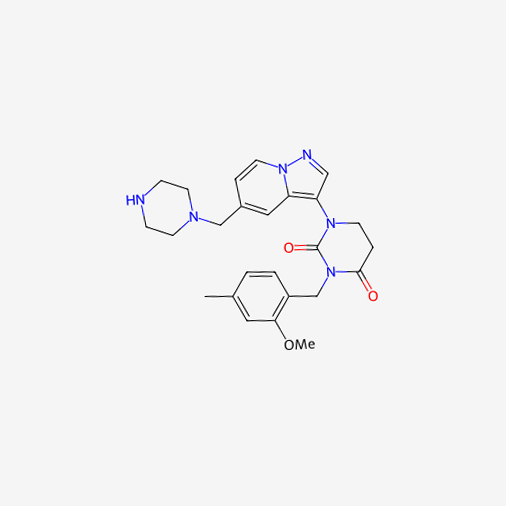 COc1cc(C)ccc1CN1C(=O)CCN(c2cnn3ccc(CN4CCNCC4)cc23)C1=O